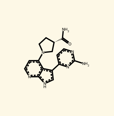 NC(=O)[C@H]1CCN(c2ccnc3[nH]cc(-c4ccnc(N)n4)c23)C1